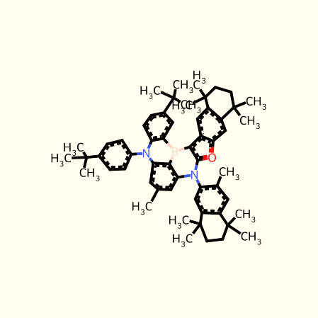 Cc1cc2c3c(c1)N(c1cc4c(cc1C)C(C)(C)CCC4(C)C)c1oc4cc5c(cc4c1B3c1cc(C(C)(C)C)ccc1N2c1ccc(C(C)(C)C)cc1)C(C)(C)CCC5(C)C